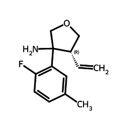 C=C[C@H]1COCC1(N)c1cc(C)ccc1F